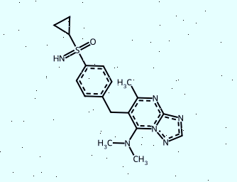 Cc1nc2ncnn2c(N(C)C)c1Cc1ccc(S(=N)(=O)C2CC2)cc1